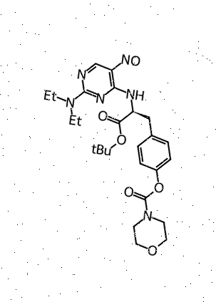 CCN(CC)c1ncc(N=O)c(N[C@@H](Cc2ccc(OC(=O)N3CCOCC3)cc2)C(=O)OC(C)(C)C)n1